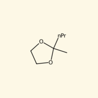 CCCC1(C)OCCO1